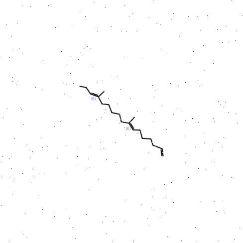 C=CCCCC/C=C(\C)CCCCC/C(C)=C/CC